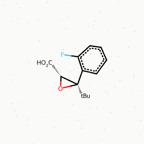 CC(C)(C)[C@]1(c2ccccc2F)O[C@@H]1C(=O)O